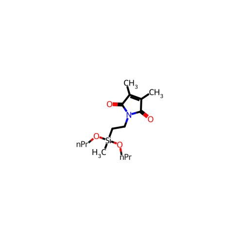 CCCO[Si](C)(CCN1C(=O)C(C)=C(C)C1=O)OCCC